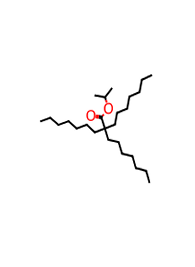 CCCCCCCC(CCCCCCC)(CCCCCCC)C(=O)OC(C)C